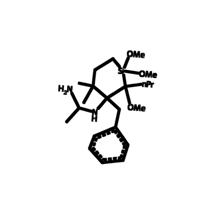 CCCC1(OC)C(Cc2ccccc2)(NC(C)N)C(C)(C)CC[Si]1(OC)OC